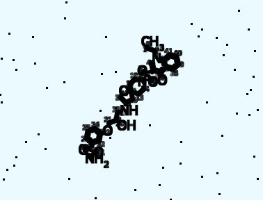 CCCn1cc(S(=O)(=O)N2CCC3(CC2)C[C@@H](NCC(O)COc2cccc(S(N)(=O)=O)c2)CO3)c(=O)c2ccccc21